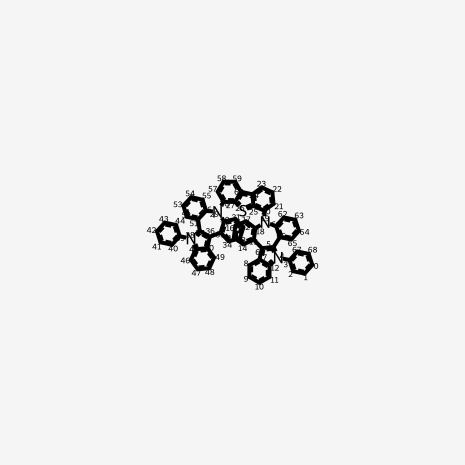 c1ccc(-n2c3c(c4ccccc42)-c2ccccc2N(c2cccc4c2sc2c(N5c6ccccc6-c6c(n(-c7ccccc7)c7ccccc67)-c6ccccc65)cccc24)c2ccccc2-3)cc1